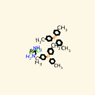 Cc1ccc(P(c2ccc(C)cc2)c2ccc(C)cc2)cc1.Cc1ccc(P(c2ccc(C)cc2)c2ccc(C)cc2)cc1.NCC(N)(Cl)Cl.[Ru]